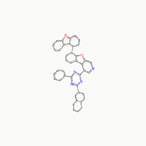 c1ccc(-c2nc(-c3ccc4ccccc4c3)nc(-c3cncc4oc5c(-c6cccc7oc8ccccc8c67)cccc5c34)n2)cc1